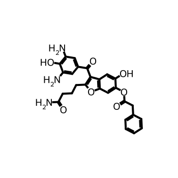 NC(=O)CCCc1oc2cc(OC(=O)Cc3ccccc3)c(O)cc2c1C(=O)c1cc(N)c(O)c(N)c1